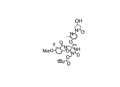 C=C(Oc1ccc(N2C[C@H](O)CC2=O)nc1C)[C@]1(CN2Cc3ccc(OC)c(F)c3C2=O)NC(=O)N(COC(=O)C(C)(C)C)C1=O